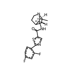 C[C@H]1[C@H](NC(=O)c2cnc(-c3ccc(F)cc3F)s2)C2CCN1CC2